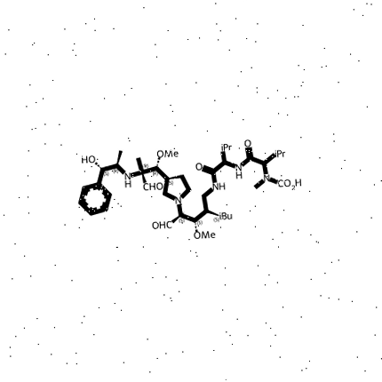 CC[C@H](C)C(CNC(=O)C(NC(=O)C(C(C)C)N(C)C(=O)O)C(C)C)[C@H](OC)[C@@H](C=O)N1CC[C@H]([C@@H](OC)[C@](C)(C=O)N[C@H](C)[C@@H](O)c2ccccc2)C1